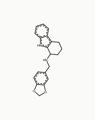 c1ccc2c3c([nH]c2c1)C(NCc1ccc2c(c1)OCO2)CCC3